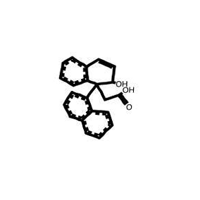 O=C(O)CC1(c2cccc3ccccc23)c2ccccc2C=CC1O